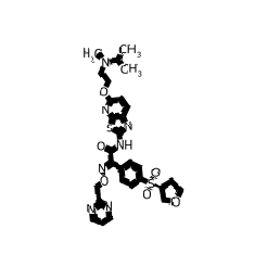 CC(C)N(C)CCOc1ccc2nc(NC(=O)/C(=N/OCc3ncccn3)c3ccc(S(=O)(=O)[C@H]4CCOC4)cc3)sc2n1